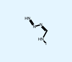 N=N/N=C\NI